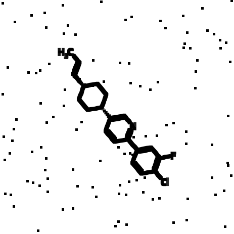 CC=C[C@H]1CC[C@H](c2ccc(-c3ccc(Cl)c(F)c3)nc2)CC1